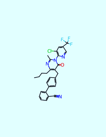 CCCCc1nc(C)n(-c2ncc(C(F)(F)F)cc2Cl)c(=O)c1Cc1ccc(-c2ccccc2C#N)cc1